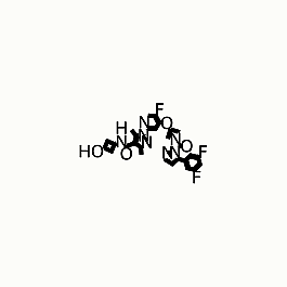 Cc1nn(-c2cc(OC3CN(C(=O)N4N=CCC4c4cc(F)cc(F)c4)C3)c(F)cn2)c(C)c1C(=O)NC1CC(O)C1